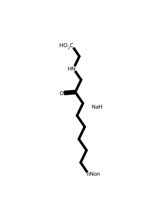 CCCCCCCCCCCCCCCC(=O)CNCC(=O)O.[NaH]